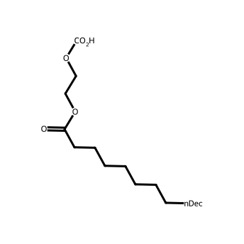 CCCCCCCCCCCCCCCCCC(=O)OCCOC(=O)O